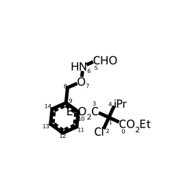 CCOC(=O)C(Cl)(C(=O)OCC)C(C)C.O=CNOCc1ccccc1